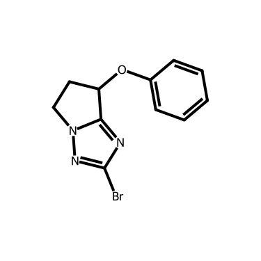 Brc1nc2n(n1)CCC2Oc1ccccc1